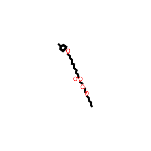 CCCCCCOCCOCCOC(=O)CCCCCCCCCCOc1ccc(C)cc1